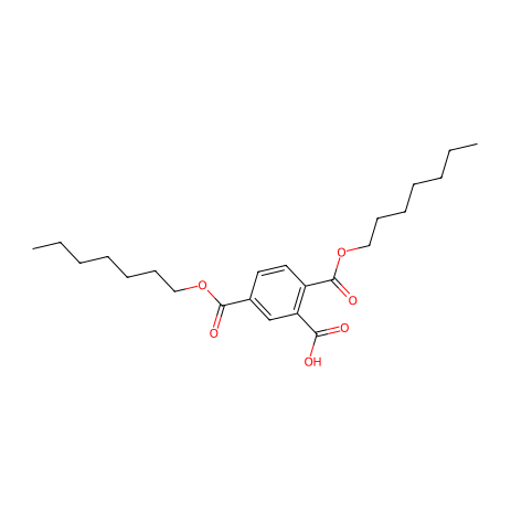 CCCCCCCOC(=O)c1ccc(C(=O)OCCCCCCC)c(C(=O)O)c1